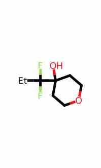 CCC(F)(F)C1(O)CCOCC1